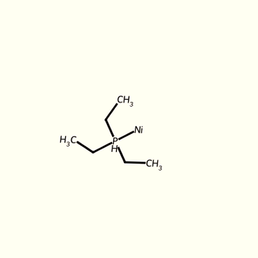 CC[PH]([Ni])(CC)CC